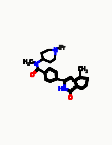 Cc1cccc2c(=O)[nH]c(-c3ccc(C(=O)N(C)C4CCN(C(C)C)CC4)cc3)cc12